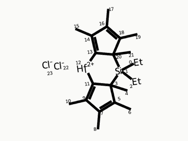 CC[Si]1(CC)C2(C)C(C)=C(C)C(C)=[C]2[Hf+2][C]2=C(C)C(C)=C(C)C21C.[Cl-].[Cl-]